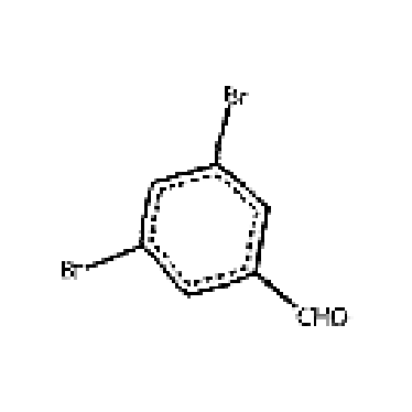 O=[C]c1cc(Br)cc(Br)c1